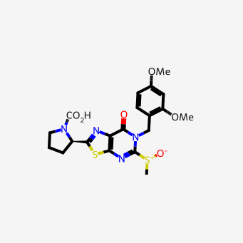 COc1ccc(Cn2c([S+](C)[O-])nc3sc([C@H]4CCCN4C(=O)O)nc3c2=O)c(OC)c1